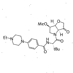 CCN1CCN(c2ccc(C(=O)N[C@H](C(=O)N3C[C@@H](OC)[C@H]4OCC(=O)[C@H]43)C(C)(C)C)cc2)CC1